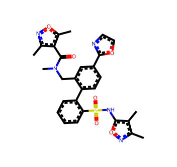 Cc1noc(NS(=O)(=O)c2ccccc2-c2ccc(-c3ncco3)cc2CN(C)C(=O)c2c(C)noc2C)c1C